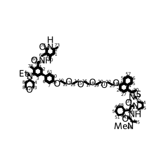 CCN(c1cc(-c2ccc(OCCOCCOCCOCCOCCOc3ccc(-c4csc([C@@H]5CCCN5C(=O)C(NC(=O)[C@H](C)NC)C5CCCCC5)n4)c4ccccc34)cc2)cc(C(=O)NCc2c(C)cc(C)[nH]c2=O)c1C)C1CCOCC1